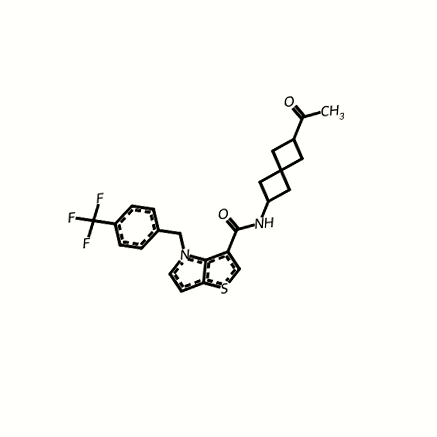 CC(=O)C1CC2(CC(NC(=O)c3csc4ccn(Cc5ccc(C(F)(F)F)cc5)c34)C2)C1